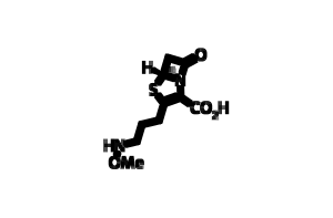 CONCCCC1=C(C(=O)O)N2C(=O)C[C@H]2S1